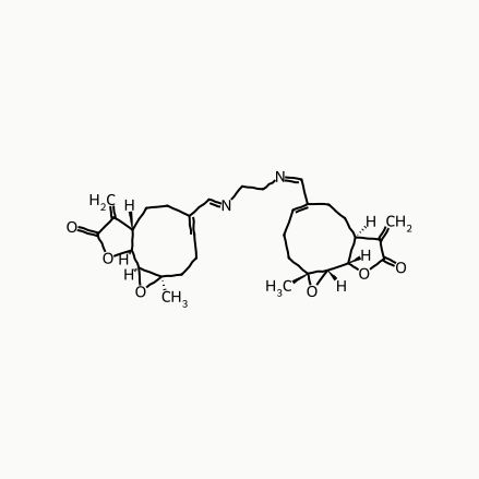 C=C1C(=O)O[C@H]2[C@H]1CC/C(C=NCC/N=C\C1=C\CC[C@@]3(C)O[C@H]3[C@H]3OC(=O)C(=C)[C@@H]3CC1)=C\CC[C@@]1(C)O[C@@H]21